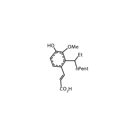 CCCCCC(CC)c1c(C=CC(=O)O)ccc(O)c1OC